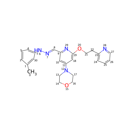 Cc1cccc(N/N=C/c2cc(N3CCOCC3)cc(OCCc3ccccn3)n2)c1